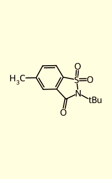 Cc1ccc2c(c1)C(=O)N(C(C)(C)C)S2(=O)=O